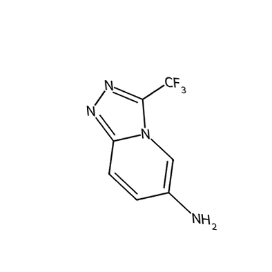 Nc1ccc2nnc(C(F)(F)F)n2c1